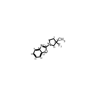 CC1(F)CCN(c2nc3ccccc3o2)C1